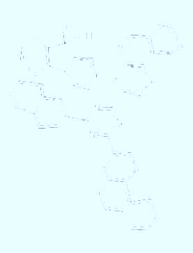 CC1(C)c2ccccc2-c2c(-c3c(-c4nc(-c5ccc6c(ccc7ccccc76)c5)nc(-c5ccc6c(ccc7ccccc76)c5)n4)ccc4ccccc34)cccc21